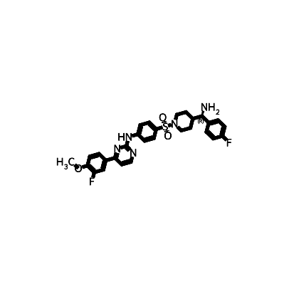 COc1ccc(-c2ccnc(Nc3ccc(S(=O)(=O)N4CCC([C@@H](N)c5ccc(F)cc5)CC4)cc3)n2)cc1F